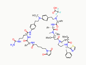 CC[C@H](C)[C@@H]([C@@H](CC(=O)N1CCC[C@H]1[C@H](OC)[C@@H](C)C(=O)N[C@@H](Cc1ccccc1)c1nccs1)OC)N(C)C(=O)[C@@H](NC(=O)[C@H](C(C)C)N(C)CCc1ccc(N(CCc2ccc(NC(=O)[C@H](CCCNC(N)=O)NC(=O)[C@@H](NC(=O)CCCCCN3C(=O)C=CC3=O)C(C)C)cc2)C(=O)O)cc1)C(C)C.O=C(O)C(F)(F)F